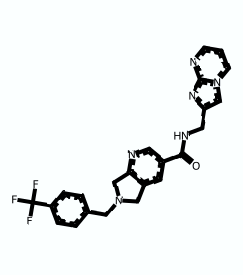 O=C(NCc1cn2cccnc2n1)c1cnc2c(c1)CN(Cc1ccc(C(F)(F)F)cc1)C2